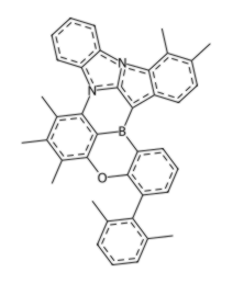 Cc1cccc(C)c1-c1cccc2c1Oc1c(C)c(C)c(C)c3c1B2c1c2ccc(C)c(C)c2n2c4ccccc4n-3c12